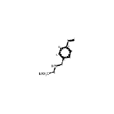 C=Cc1ccc(CNCC(=O)OCC)cc1